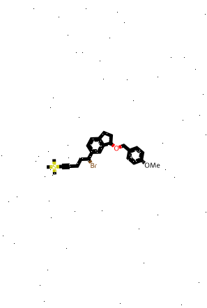 COc1ccc(COC2CCc3ccc(C(Br)CCC#CS(C)(C)C)cc32)cc1